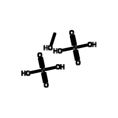 CO.O=S(=O)(O)O.O=S(=O)(O)O